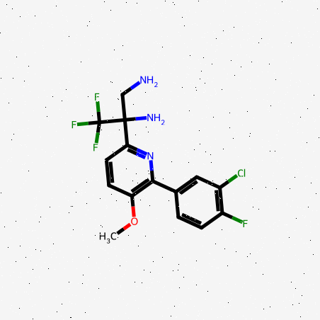 COc1ccc(C(N)(CN)C(F)(F)F)nc1-c1ccc(F)c(Cl)c1